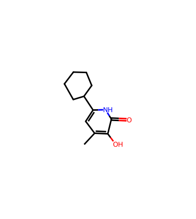 Cc1cc(C2CCCCC2)[nH]c(=O)c1O